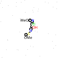 COc1cccc(SCCN2CCC(CO)(CCCc3c(Cl)cnc4ccc(OC)cc34)CC2)c1